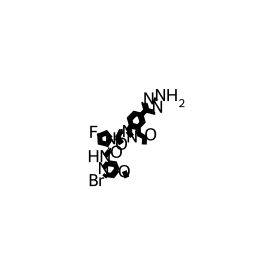 COc1cc(Br)nc(NC(=O)[C@@H]2C[C@@H](F)CN2C(=O)Cn2nc(C(C)=O)c3cc(-c4cnc(N)nc4)ccc32)c1